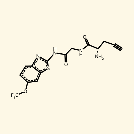 C#CC[C@H](N)C(=O)NCC(=O)Nc1nc2ccc(OC(F)(F)F)cc2s1